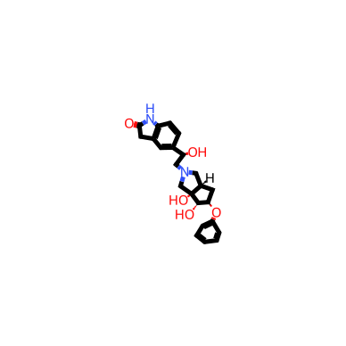 O=C1Cc2cc([C@@H](O)CN3C[C@H]4C[C@H](Oc5ccccc5)[C@H](O)[C@@]4(O)C3)ccc2N1